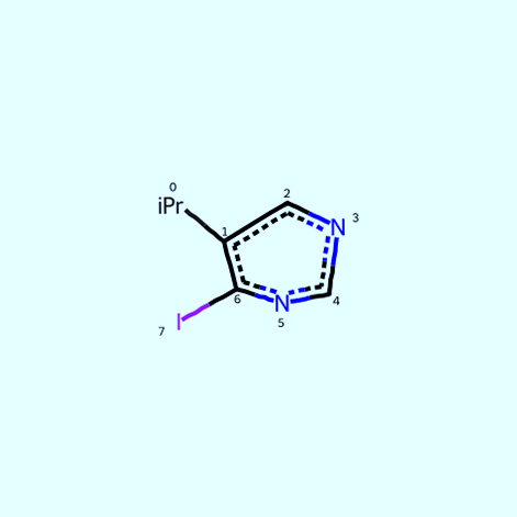 CC(C)c1cncnc1I